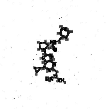 CN(C)Cc1nc(C2CC2)c2sc(N3CCC[C@@H]3C(=O)NCc3ccccc3)nc2n1